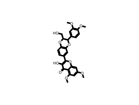 COc1cc(OC)c2c(=O)c(O)c(-c3ccc4c(c3)OC(c3ccc(OC)c(OC)c3)C(CO)O4)oc2c1